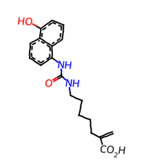 C=C(CCCCCNC(=O)Nc1cccc2c(O)cccc12)C(=O)O